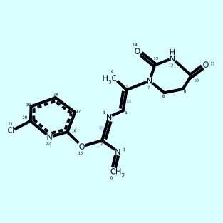 C=N/C(=N\C=C(/C)N1CCC(=O)NC1=O)Oc1cccc(Cl)n1